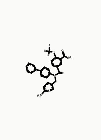 NC(=O)c1cc(C(=O)N(Cc2ccc(N)nc2)c2ccc(-c3ccccc3)cc2)ccc1OC(F)(F)F